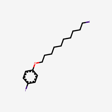 ICCCCCCCCCCOc1ccc(I)cc1